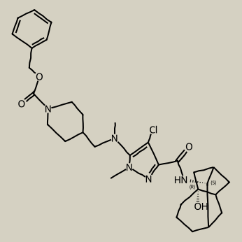 CN(CC1CCN(C(=O)OCc2ccccc2)CC1)c1c(Cl)c(C(=O)N[C@H]2C3CCC[C@@]4(O)CC2CC4C3)nn1C